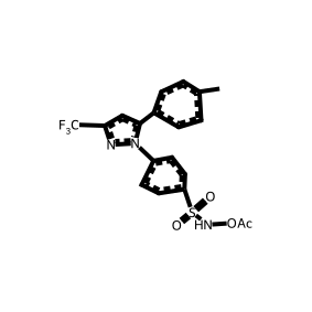 CC(=O)ONS(=O)(=O)c1ccc(-n2nc(C(F)(F)F)cc2-c2ccc(C)cc2)cc1